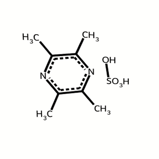 Cc1nc(C)c(C)nc1C.O=S(=O)(O)O